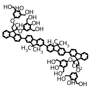 C=C(Oc1cc(CO)c(O)c(CO)c1)C1(CCOc2cc(CO)c(O)c(CO)c2)c2ccccc2-c2ccc(-c3ccc4c(c3)C(C)(C)c3cc(-c5ccc6c(c5)C(C)(C)c5cc(-c7ccc8c(c7)C(CCOc7cc(CO)c(O)c(CO)c7)(C(=C)Oc7cc(CO)c(O)c(CO)c7)c7ccccc7-8)ccc5-6)ccc3-4)cc21